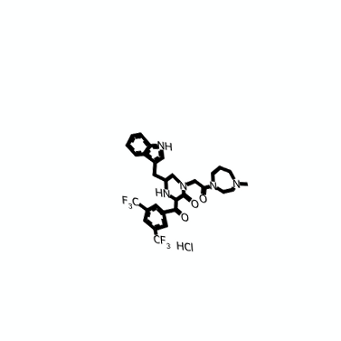 CN1CCCN(C(=O)CN2CC(Cc3c[nH]c4ccccc34)NC(C(=O)c3cc(C(F)(F)F)cc(C(F)(F)F)c3)C2=O)CC1.Cl